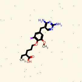 CCC(CCCOc1c(I)cc(Cc2cnc(N)nc2N)cc1OC)C(=O)O